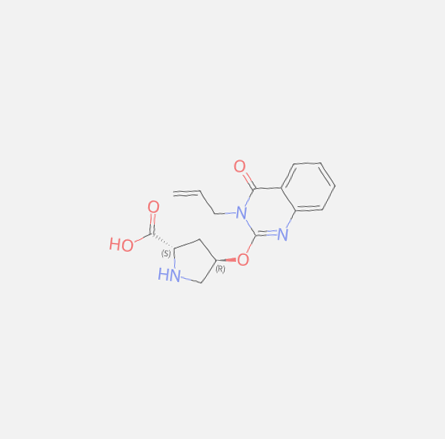 C=CCn1c(O[C@H]2CN[C@H](C(=O)O)C2)nc2ccccc2c1=O